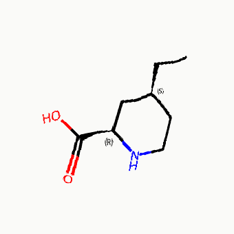 CC[C@H]1CCN[C@@H](C(=O)O)C1